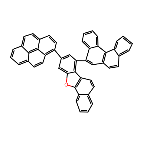 c1ccc2c(c1)ccc1c2oc2cc(-c3ccc4ccc5cccc6ccc3c4c56)cc(-c3cc4ccc5ccccc5c4c4ccccc34)c21